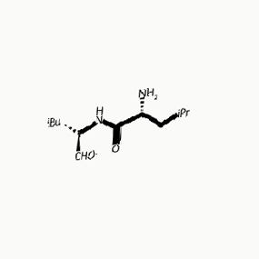 CC[C@@H](C)[C@H]([C]=O)NC(=O)[C@H](N)CC(C)C